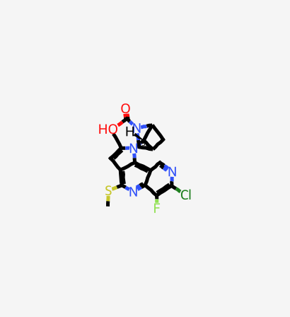 CSc1nc2c(F)c(Cl)ncc2c2c1cc(C)n2[C@H]1C2CC1N(C(=O)O)C2